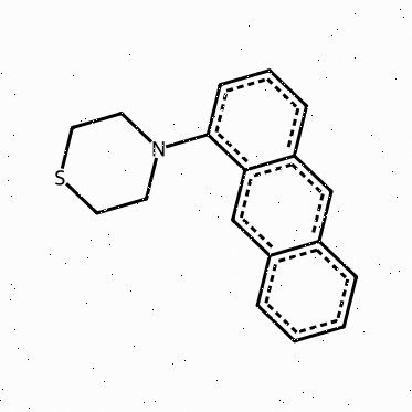 c1ccc2cc3c(N4CCSCC4)cccc3cc2c1